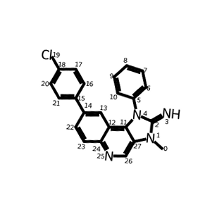 Cn1c(=N)n(-c2ccccc2)c2c3cc(-c4ccc(Cl)cc4)ccc3ncc21